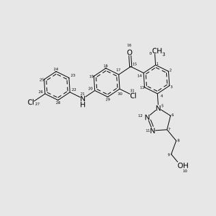 Cc1ccc(N2CC(CCO)N=N2)cc1C(=O)c1ccc(Nc2cccc(Cl)c2)cc1Cl